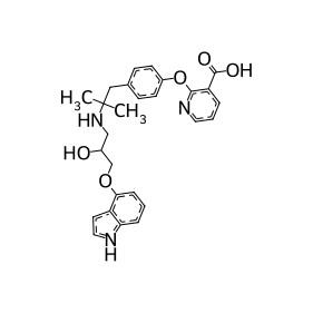 CC(C)(Cc1ccc(Oc2ncccc2C(=O)O)cc1)NCC(O)COc1cccc2[nH]ccc12